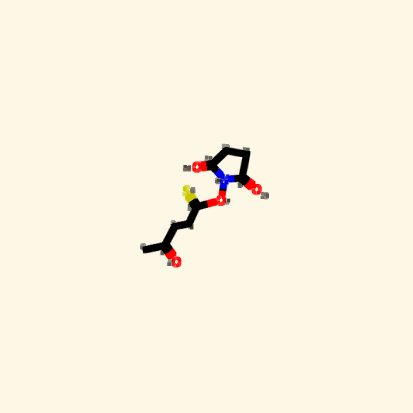 CC(=O)CCC(=S)ON1C(=O)CCC1=O